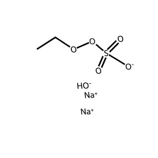 CCOOS(=O)(=O)[O-].[Na+].[Na+].[OH-]